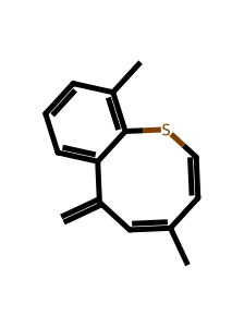 C=C1/C=C(C)\C=C/Sc2c(C)cccc21